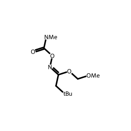 CNC(=O)ON=C(CC(C)(C)C)OCOC